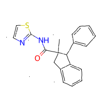 CC1(C(=O)Nc2nccs2)Cc2ccccc2C1c1ccccc1